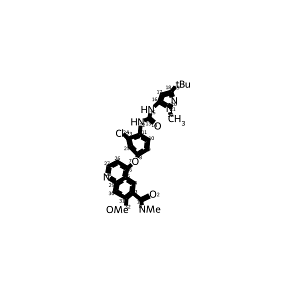 CNC(=O)c1cc2c(Oc3ccc(NC(=O)Nc4cc(C(C)(C)C)nn4C)c(Cl)c3)ccnc2cc1OC